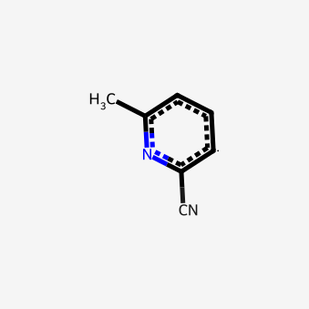 Cc1cc[c]c(C#N)n1